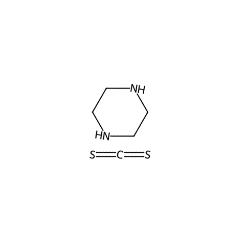 C1CNCCN1.S=C=S